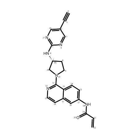 C#Cc1cnc(N[C@@H]2CCN(c3nccc4cc(NC(=O)C=C)ccc34)C2)nc1